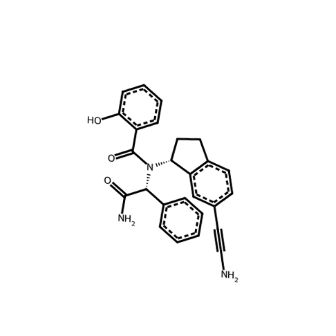 NC#Cc1ccc2c(c1)[C@H](N(C(=O)c1ccccc1O)[C@@H](C(N)=O)c1ccccc1)CC2